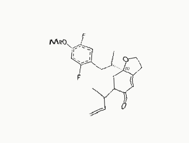 C=CC(C)C1C[C@@]2(C(C)Cc3cc(F)c(OC)cc3F)OCCC2=CC1=O